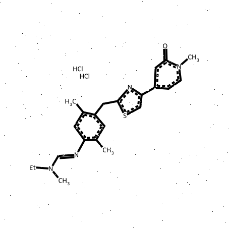 CCN(C)C=Nc1cc(C)c(Cc2nc(-c3ccn(C)c(=O)c3)cs2)cc1C.Cl.Cl